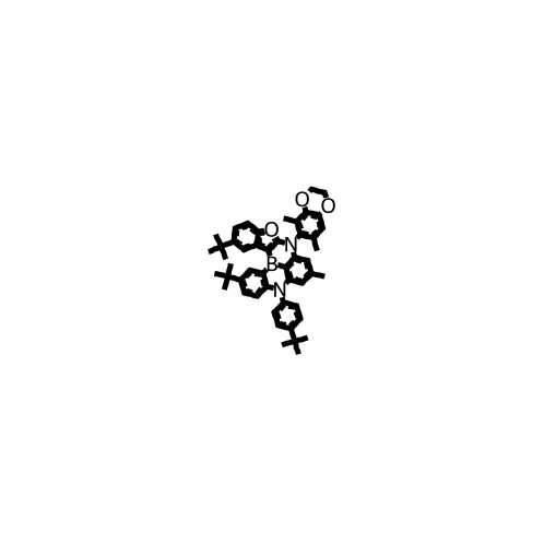 Cc1cc2c3c(c1)N(c1c(C)cc4c(c1C)OCCO4)c1oc4ccc(C(C)(C)C)cc4c1B3c1cc(C(C)(C)C)ccc1N2c1ccc(C(C)(C)C)cc1